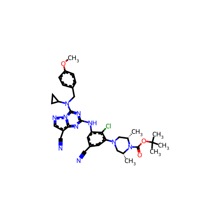 COc1ccc(CN(c2nc(Nc3cc(C#N)cc(N4C[C@@H](C)N(C(=O)OC(C)(C)C)[C@@H](C)C4)c3Cl)nc3c(C#N)cnn23)C2CC2)cc1